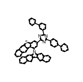 c1ccc(-c2ccc(-c3nc(-c4cccc(-c5ccccc5)c4)nc(-c4cc(-n5c6cc7ccccc7cc6c6cc7ccccc7cc65)c5c(c4)sc4cc6ccccc6cc45)n3)cc2)cc1